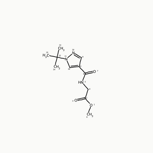 COC(=O)CNC(=O)c1cnn(C(C)(C)C)c1